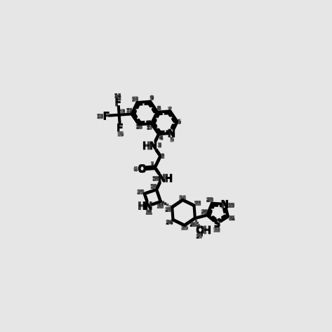 O=C(CNc1nccc2ccc(C(F)(F)F)cc12)NC1CNC1[C@H]1CC[C@](O)(c2cncs2)CC1